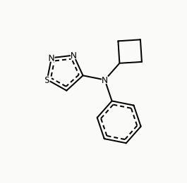 c1ccc(N(c2csnn2)C2CCC2)cc1